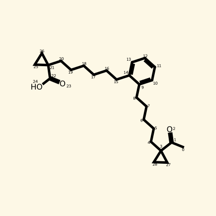 CC(=O)C1(CCCCCc2ccccc2CCCCCCC2(C(=O)O)CC2)CC1